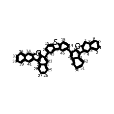 c1ccc2cc3c(cc2c1)oc1c(-c2ccc4sc5ccc(-c6cc7ccccc7c7c6oc6cc8ccccc8cc67)cc5c4c2)cc2ccccc2c13